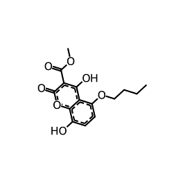 CCCCOc1ccc(O)c2oc(=O)c(C(=O)OC)c(O)c12